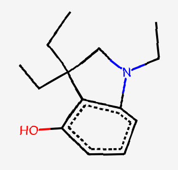 CCN1CC(CC)(CC)c2c(O)cccc21